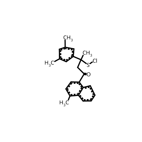 Cc1cc(C)cc(C(C)(CC(=O)c2ccc(C)c3ccccc23)SCl)c1